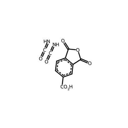 N=C=O.N=C=O.O=C(O)c1ccc2c(c1)C(=O)OC2=O